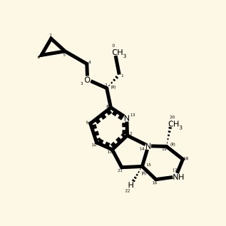 CC[C@@H](OCC1CC1)c1ccc2c(n1)N1[C@@H](CNC[C@H]1C)C2